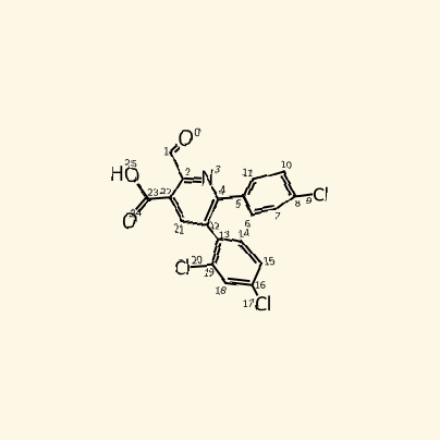 O=Cc1nc(-c2ccc(Cl)cc2)c(-c2ccc(Cl)cc2Cl)cc1C(=O)O